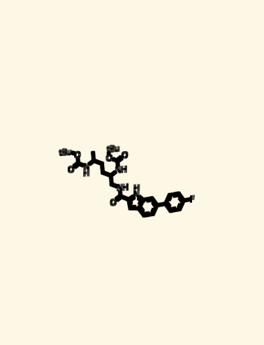 CC(CCC(CNC(=O)c1cc2ccc(-c3ccc(F)cc3)cc2[nH]1)NC(=O)OC(C)(C)C)NC(=O)OC(C)(C)C